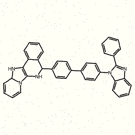 C1=CC2NC3=C(NC(c4ccc(-c5ccc(-n6c(-c7ccccc7)nc7ccccc76)cc5)cc4)c4ccccc43)N2C=C1